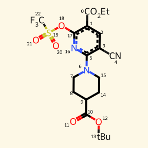 CCOC(=O)c1cc(C#N)c(N2CCC(C(=O)OC(C)(C)C)CC2)nc1OS(=O)(=O)C(F)(F)F